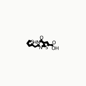 O=C(O)c1cc2c(=O)[nH]c(Cc3cccs3)nc2s1